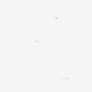 COc1cccc(CCNc2cc[nH]c(=O)c2C(=O)O)c1